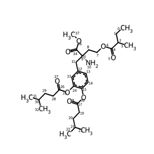 CCC(C)C(=O)OCC[C@@](N)(Cc1ccc(OC(=O)CCC(C)C)c(OC(=O)CCC(C)C)c1)C(=O)OC